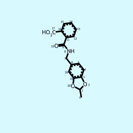 CC1Oc2ccc(CNC(=O)c3ccccc3C(=O)O)cc2O1